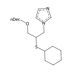 CCCCCCCCCCOCC(Cn1ccnc1)SC1CCCCC1